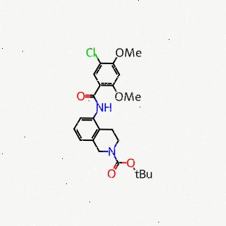 COc1cc(OC)c(C(=O)Nc2cccc3c2CCN(C(=O)OC(C)(C)C)C3)cc1Cl